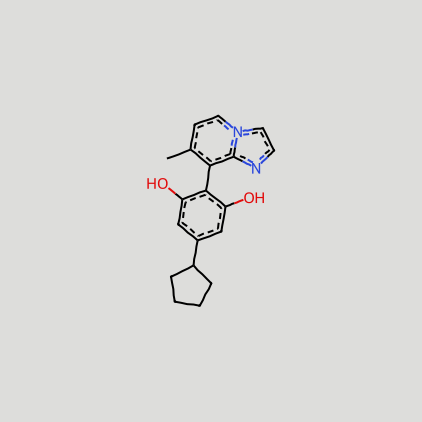 Cc1ccn2ccnc2c1-c1c(O)cc(C2CCCC2)cc1O